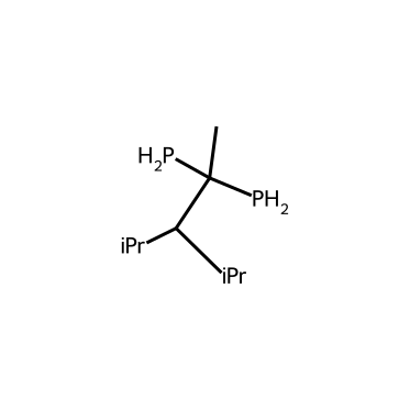 CC(C)C(C(C)C)C(C)(P)P